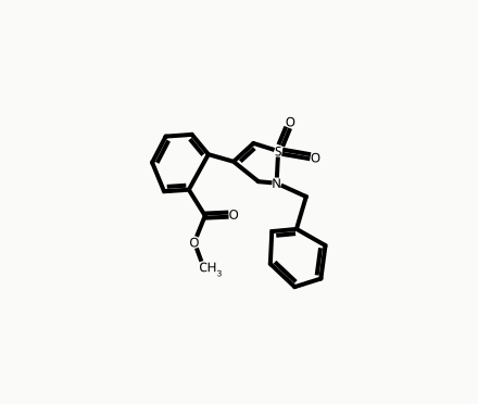 COC(=O)c1ccccc1C1=CS(=O)(=O)N(Cc2ccccc2)C1